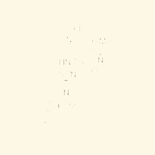 COc1cnc(Cl)cc1-c1cc(C)ncc1C(=O)Nc1nc2c(s1)CN(C(=O)c1cccc(C(F)F)c1)C2